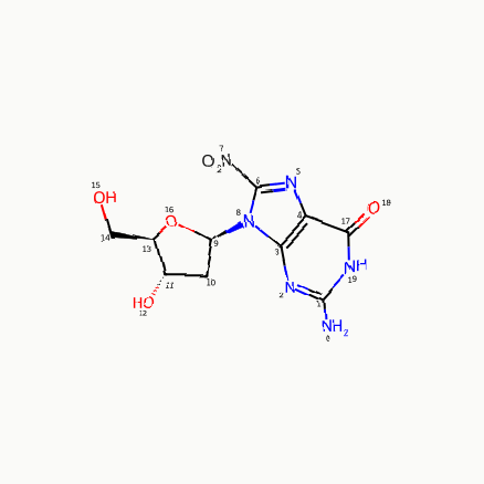 Nc1nc2c(nc([N+](=O)[O-])n2[C@H]2C[C@H](O)[C@@H](CO)O2)c(=O)[nH]1